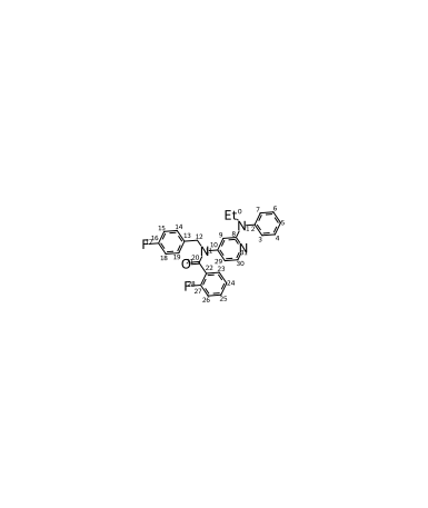 CCN(c1ccccc1)c1cc(N(Cc2ccc(F)cc2)C(=O)c2ccccc2F)ccn1